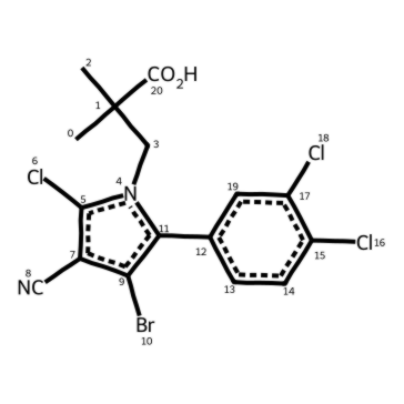 CC(C)(Cn1c(Cl)c(C#N)c(Br)c1-c1ccc(Cl)c(Cl)c1)C(=O)O